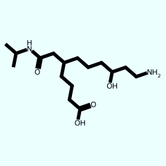 CC(C)NC(=O)CC(CCCC(=O)O)CCCC(O)CCN